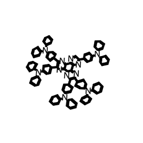 c1ccc(N(c2ccccc2)c2ccc(-c3cnc4c(n3)c3nc(-c5ccc(N(c6ccccc6)c6ccccc6)cc5)c(-c5ccc(N(c6ccccc6)c6ccccc6)cc5)nc3c3nc(-c5ccc(N(c6ccccc6)c6ccccc6)cc5)c(-c5ccc(N(c6ccccc6)c6ccccc6)cc5)nc43)cc2)cc1